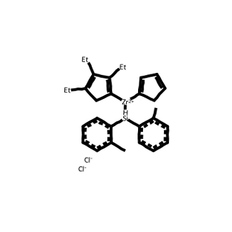 CCC1=C(CC)C(CC)=[C]([Zr+2]([C]2=CC=CC2)[SiH](c2ccccc2C)c2ccccc2C)C1.[Cl-].[Cl-]